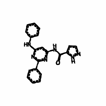 O=C(Nc1cc(Nc2ccccc2)nc(-c2ccccc2)n1)c1ccn[nH]1